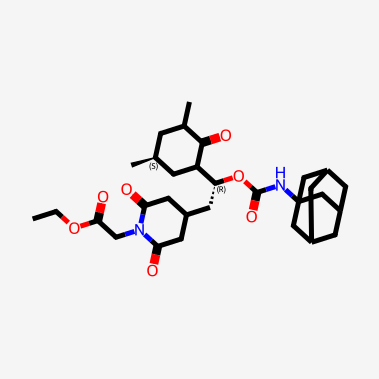 CCOC(=O)CN1C(=O)CC(C[C@@H](OC(=O)NC23CC4CC(CC(C4)C2)C3)C2C[C@@H](C)CC(C)C2=O)CC1=O